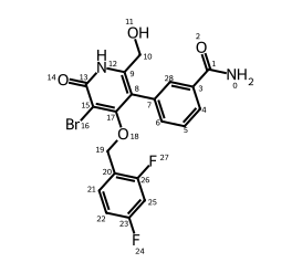 NC(=O)c1cccc(-c2c(CO)[nH]c(=O)c(Br)c2OCc2ccc(F)cc2F)c1